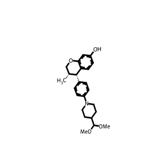 COC(OC)C1CCN(c2ccc([C@H]3c4ccc(O)cc4OC[C@H]3C)cc2)CC1